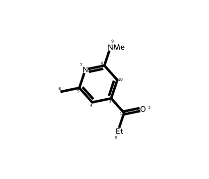 CCC(=O)c1cc(C)nc(NC)c1